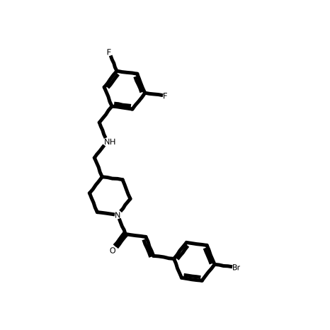 O=C(C=Cc1ccc(Br)cc1)N1CCC(CNCc2cc(F)cc(F)c2)CC1